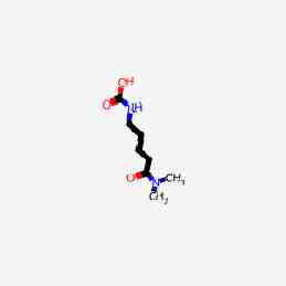 CN(C)C(=O)CCCCNC(=O)O